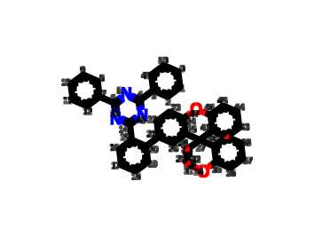 c1ccc(-c2nc(-c3ccccc3)nc(-c3ccccc3-c3ccc4c(c3)C3(c5ccccc5Oc5ccccc53)c3ccccc3O4)n2)cc1